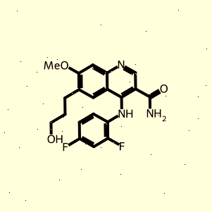 COc1cc2ncc(C(N)=O)c(Nc3ccc(F)cc3F)c2cc1CCCO